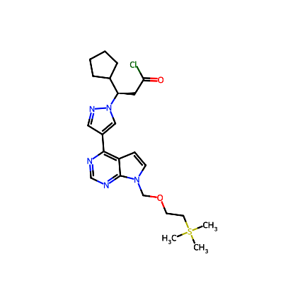 CS(C)(C)CCOCn1ccc2c(-c3cnn([C@H](CC(=O)Cl)C4CCCC4)c3)ncnc21